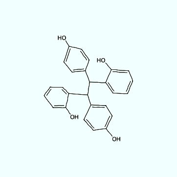 Oc1ccc(C(c2ccccc2O)C(c2ccc(O)cc2)c2ccccc2O)cc1